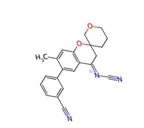 Cc1cc2c(cc1-c1cccc(C#N)c1)/C(=N/C#N)CC1(CCCOC1)O2